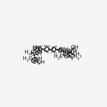 CC(C)[C@H](NC(=O)O)C(=O)N[C@@H](c1nc(-c2ccc(-c3ccc(-c4c[nH]c([C@H](NC(=O)[C@@H](NC(=O)O)C(C)C)C(C)C)n4)cc3)cc2)c[nH]1)C(C)C